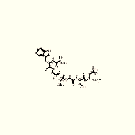 CC[C@H](C)[C@H](N)C(=O)N[C@@H](Cc1c[nH]c2ccccc12)C(=O)NCC(=O)N[C@H](C(=O)NCC(=O)N[C@@H](CS)C(=O)N[C@@H](CC(N)=O)C(=O)O)[C@@H](C)CC